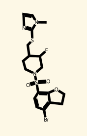 Cn1ccnc1SCC1CCN(S(=O)(=O)c2ccc(Br)c3c2OCC3)CC1F